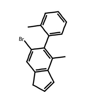 Cc1ccccc1-c1c(Br)cc2c(c1C)C=CC2